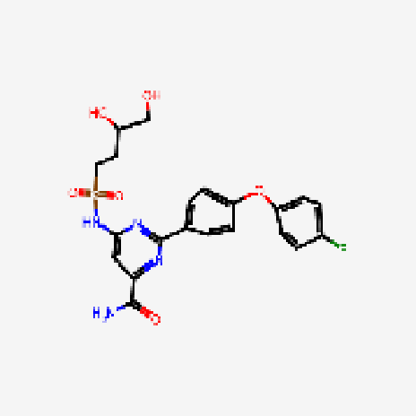 NC(=O)c1cc(NS(=O)(=O)CCC(O)CO)nc(-c2ccc(Oc3ccc(F)cc3)cc2)n1